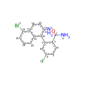 NC(=O)c1ccc(F)cc1-c1c(N)ccc2c(Br)cccc12